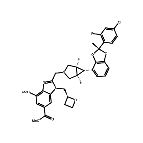 COC(=O)c1cc(OC)c2nc(CN3C[C@@H]4[C@H](C3)[C@H]4c3cccc4c3O[C@](C)(c3ccc(Cl)cc3F)O4)n(C[C@@H]3CCO3)c2c1